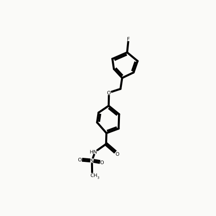 CS(=O)(=O)NC(=O)c1ccc(OCc2ccc(F)cc2)cc1